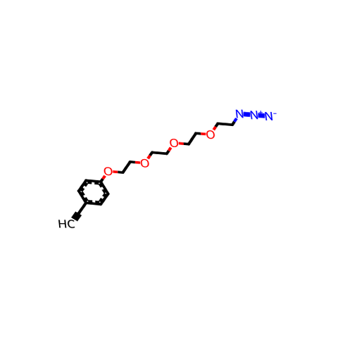 C#Cc1ccc(OCCOCCOCCOCCN=[N+]=[N-])cc1